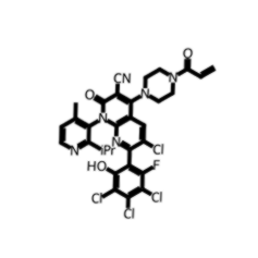 C=CC(=O)N1CCN(c2c(C#N)c(=O)n(-c3c(C)ccnc3C(C)C)c3nc(-c4c(O)c(Cl)c(Cl)c(Cl)c4F)c(Cl)cc23)CC1